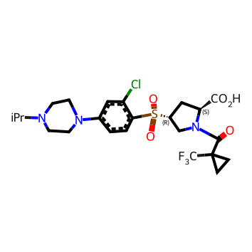 CC(C)N1CCN(c2ccc(S(=O)(=O)[C@@H]3C[C@@H](C(=O)O)N(C(=O)C4(C(F)(F)F)CC4)C3)c(Cl)c2)CC1